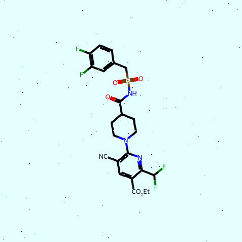 CCOC(=O)c1cc(C#N)c(N2CCC(C(=O)NS(=O)(=O)Cc3ccc(F)c(F)c3)CC2)nc1C(F)F